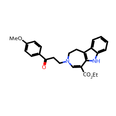 CCOC(=O)C1=CN(CCC(=O)c2ccc(OC)cc2)CCc2c1[nH]c1ccccc21